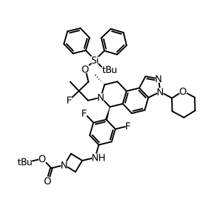 C[C@@H]1Cc2c(ccc3c2cnn3C2CCCCO2)[C@@H](c2c(F)cc(NC3CN(C(=O)OC(C)(C)C)C3)cc2F)N1CC(C)(F)CO[Si](c1ccccc1)(c1ccccc1)C(C)(C)C